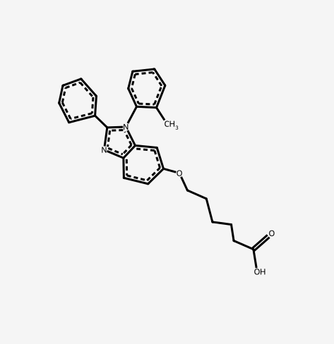 Cc1ccccc1-n1c(-c2ccccc2)nc2ccc(OCCCCCC(=O)O)cc21